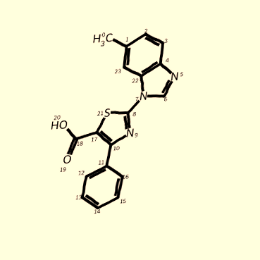 Cc1ccc2ncn(-c3nc(-c4ccccc4)c(C(=O)O)s3)c2c1